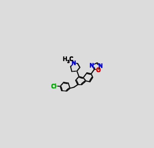 CN1CCC(c2cc(Cc3ccc(Cl)cc3)cc3ccc(-c4ncno4)cc23)CC1